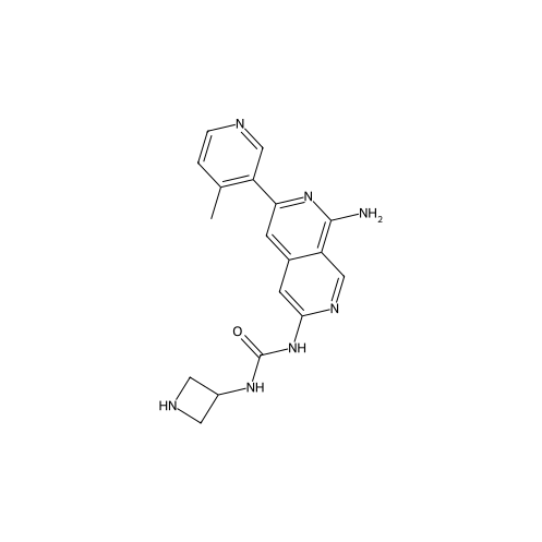 Cc1ccncc1-c1cc2cc(NC(=O)NC3CNC3)ncc2c(N)n1